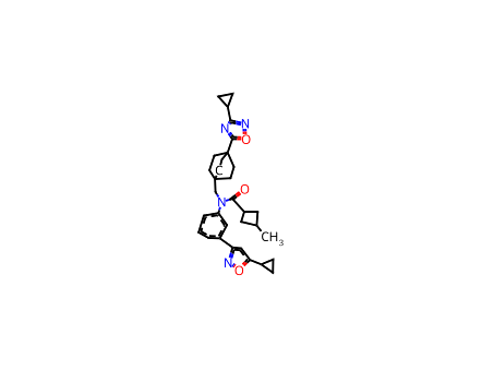 CC1CC(C(=O)N(CC23CCC(c4nc(C5CC5)no4)(CC2)CC3)c2cccc(-c3cc(C4CC4)on3)c2)C1